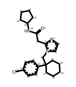 O=C(Cc1nccn1CC1(c2ccc(Cl)cc2)CCCCC1)NC1CCCC1